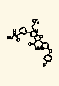 CNC(=O)c1c(-c2ccc(Oc3ccc(F)cc3)cc2)oc2nc(CCC(F)(F)F)c(-c3cccc(C(=O)NC(C)(C)C)c3)cc12